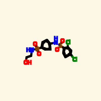 O=S(=O)(NCCO)c1ccc(NS(=O)(=O)c2ccc(Cl)cc2Cl)cc1